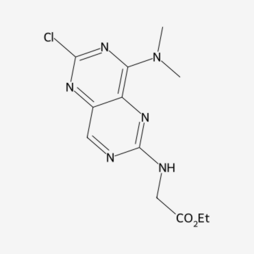 CCOC(=O)CNc1ncc2nc(Cl)nc(N(C)C)c2n1